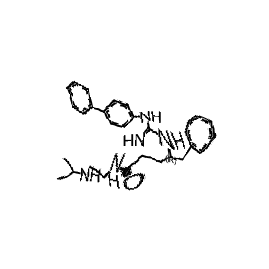 CC(C)NCCNC(=O)CC[C@H](Cc1ccccc1)NC(=N)Nc1ccc(-c2ccccc2)cc1